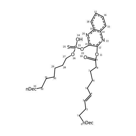 CCCCCCCCCCCC/C=C/CCCCC(=O)Oc1nc2ccccc2nc1OP(O)(=S)OCCCCCCCCCCCCCCCC